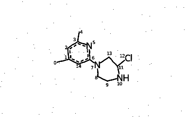 Cc1cc(C)nc(N2CCNC(Cl)C2)c1